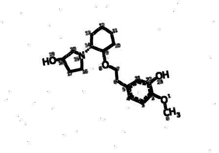 COc1ccc(CCOC2CCCC[C@H]2N2CCC(O)C2)cc1O